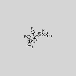 COc1cccc(NC(=O)c2c(-c3ccc(F)cc3)c(-c3ccc(F)cc3)c(/C=C/[C@@H](O)C[C@@H](O)CC(=O)O)n2C(C)C)c1